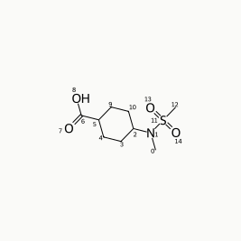 CN(C1CCC(C(=O)O)CC1)S(C)(=O)=O